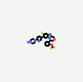 Fc1cc2nc3n(c2cc1-c1ccc(N2CCNCC2)nc1)C(c1ccccc1OC(F)F)COC3